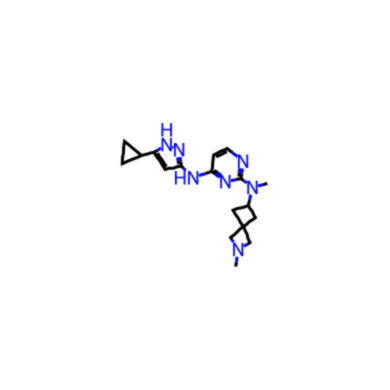 CN1CC2(CC(N(C)c3nccc(Nc4cc(C5CC5)[nH]n4)n3)C2)C1